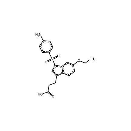 CCOc1ccc2c(CCC(=O)O)cn(S(=O)(=O)c3ccc(N)cc3)c2c1